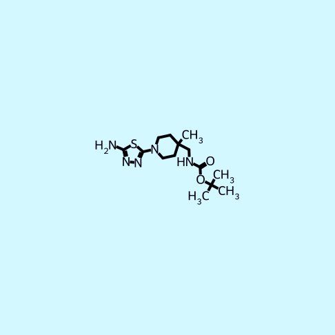 CC1(CNC(=O)OC(C)(C)C)CCN(c2nnc(N)s2)CC1